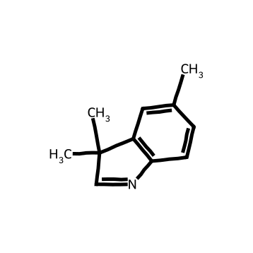 Cc1ccc2c(c1)C(C)(C)C=N2